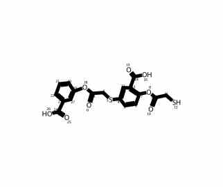 O=C(CSc1ccc(OC(=O)CS)c(C(=O)O)c1)Oc1cccc(C(=O)O)c1